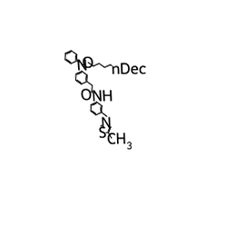 CCCCCCCCCCCCCCON(c1ccccc1)c1cccc(CC(=O)Nc2cccc(CN3C=C(C)SC3)c2)c1